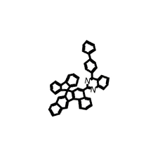 c1ccc(-c2ccc(-c3nc(-c4cc5c(c6ccccc46)-c4cc6ccccc6cc4C54c5ccccc5-c5ccccc54)nc4ccccc34)cc2)cc1